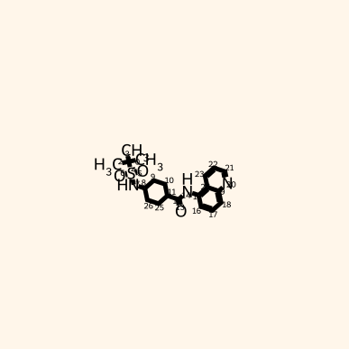 CC(C)(C)S(=O)(=O)NC1CCC(C(=O)Nc2cccc3ncccc23)CC1